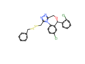 Clc1ccc2c(c1)C(c1ccccc1Cl)OCc1nnc(CSSCc3ccccc3)n1-2